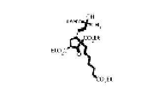 CCCCCC(C)(O)C=C[C@H]1C[C@H](C(=O)OCC)C(=O)C1(CCCCCCC(=O)OCC)C(=O)OCC